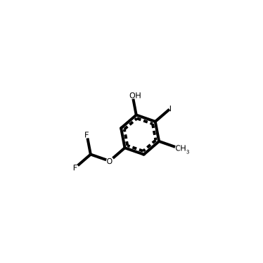 Cc1cc(OC(F)F)cc(O)c1I